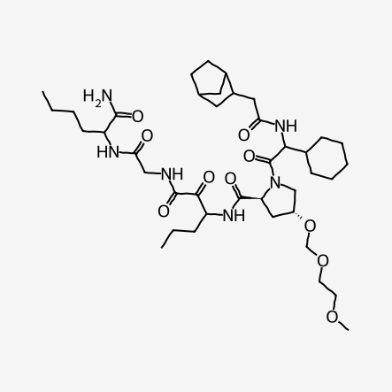 CCCCC(NC(=O)CNC(=O)C(=O)C(CCC)NC(=O)[C@@H]1C[C@@H](OCOCCOC)CN1C(=O)C(NC(=O)CC1CC2CCC1C2)C1CCCCC1)C(N)=O